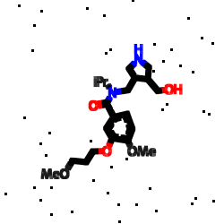 COCCCOc1cc(C(=O)N(CC2CNCC2CO)C(C)C)ccc1OC